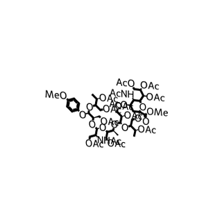 COC(=O)[C@@]1(OCC(O[C@@H](O[C@@H](C)C(COC(C)=O)O[C@@H](O[C@H](COC(C)=O)[C@@H](Oc2ccc(OC)cc2)OC(COC(C)=O)[C@H](C)OC(C)=O)[C@H](COC(C)=O)NC(C)=O)[C@H](COC(C)=O)OC(C)=O)[C@@H](C)OC(C)=O)C[C@@H](OC(C)=O)[C@@H](NC(C)=O)C([C@H](OC(C)=O)[C@@H](COC(C)=O)OC(C)=O)O1